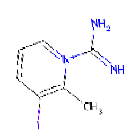 Cc1c(I)ccc[n+]1C(=N)N